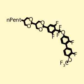 CCCCCC1COC(C2COC(c3cc(F)c(C(F)(F)Oc4ccc(-c5ccc(OC(F)(F)F)c(F)c5)c(F)c4)c(F)c3)OC2)OC1